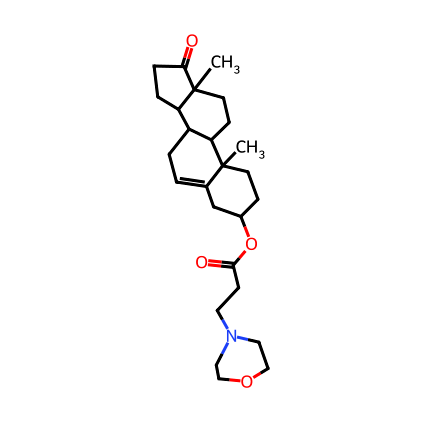 CC12CCC3C(CC=C4CC(OC(=O)CCN5CCOCC5)CCC43C)C1CCC2=O